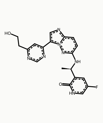 C[C@@H](Nc1ccc2ncc(-c3cc(CCO)ncn3)n2n1)c1cc(F)c[nH]c1=O